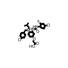 CC(C)CN(Cc1ccc(Cl)cc1)c1ccc(OCC(=O)O)cc1NC(=O)Nc1ccc(Cl)cc1F